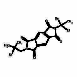 CCC(C)(C)Cn1c(=O)c2cc3c(=O)n(C(C)(CC)CC)c(=O)c3cc2c1=O